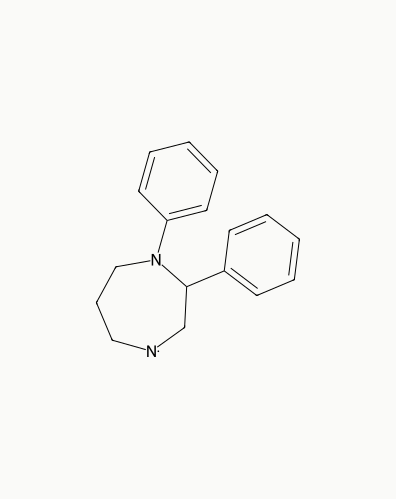 c1ccc(C2C[N]CCCN2c2ccccc2)cc1